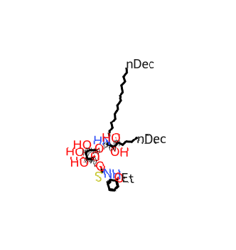 CCCCCCCCCCCCCCCCCCCCCCCCCCN[C@@H](CO[C@H]1O[C@H](COC(=S)Nc2ccccc2OCC)[C@H](O)[C@H](O)[C@H]1O)[C@H](O)[C@H](O)CCCCCCCCCCCCCC